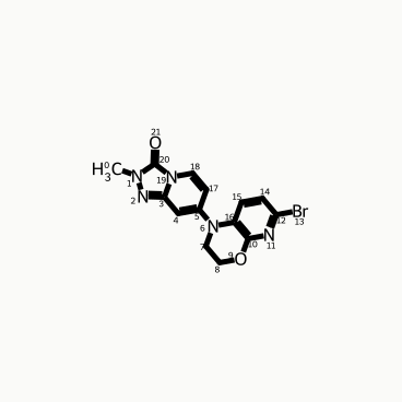 Cn1nc2cc(N3CCOc4nc(Br)ccc43)ccn2c1=O